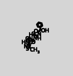 Cc1cc(NS(=O)(=O)NC(=O)N2C[C@H](NC(=O)C(O)c3ccccc3)C2=O)ns1